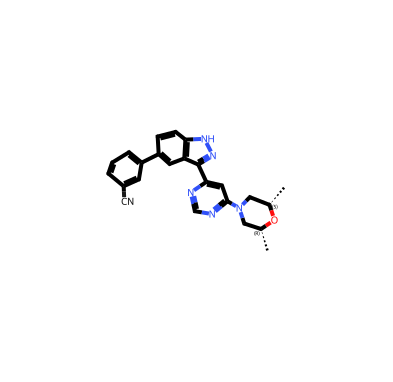 C[C@@H]1CN(c2cc(-c3n[nH]c4ccc(-c5cccc(C#N)c5)cc34)ncn2)C[C@H](C)O1